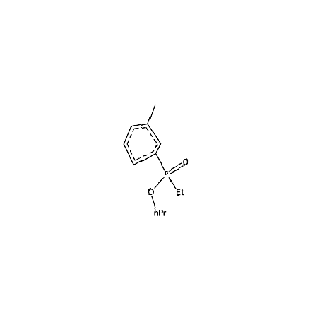 CCCOP(=O)(CC)c1cccc(C)c1